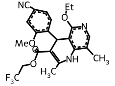 CCOc1ncc(C)c2c1C(c1ccc(C#N)cc1OC)C(C(=O)OCC(F)(F)F)=C(C)N2